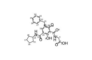 O=C(O)CNC(=O)c1c(O)c(C(=O)NC2CCCC2)cn(Cc2ccccc2)c1=O